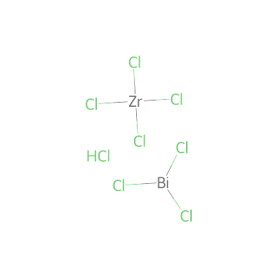 Cl.[Cl][Bi]([Cl])[Cl].[Cl][Zr]([Cl])([Cl])[Cl]